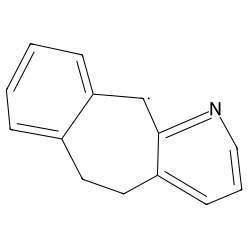 [CH]1c2ccccc2CCc2cccnc21